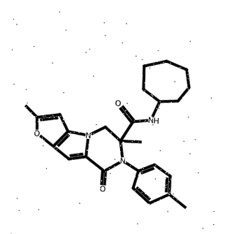 Cc1ccc(N2C(=O)c3cc4oc(C)cc4n3CC2(C)C(=O)NC2CCCCCC2)cc1